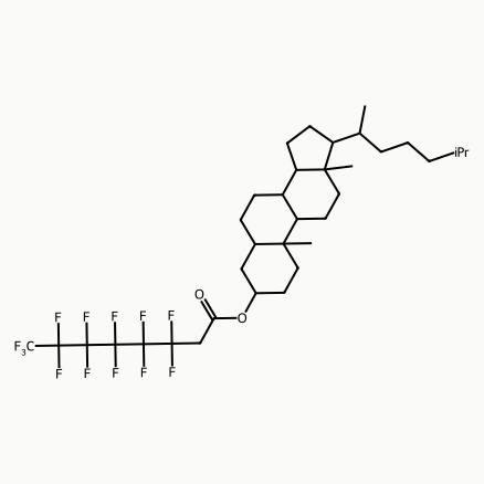 CC(C)CCCC(C)C1CCC2C3CCC4CC(OC(=O)CC(F)(F)C(F)(F)C(F)(F)C(F)(F)C(F)(F)C(F)(F)F)CCC4(C)C3CCC12C